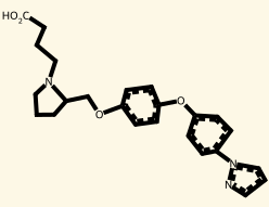 O=C(O)CCCN1CCCC1COc1ccc(Oc2ccc(-n3cccn3)cc2)cc1